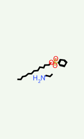 CCCCCCCCCCCCOS(=O)(=O)c1ccccc1.CCCN